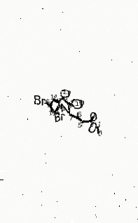 CCOC(=O)CCCN1C(=O)C(=O)c2cc(Br)cc(Br)c21